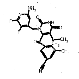 Cc1cc(C#N)cc(C(=O)c2c(C(C)C)c(=O)[nH]c(=O)n2Cc2cc(N)nc(F)c2F)c1